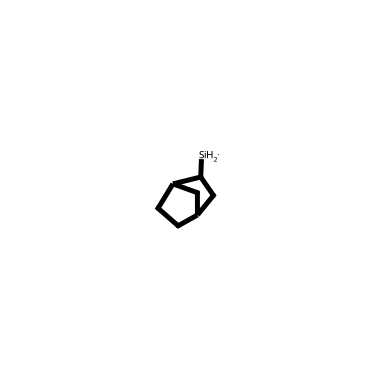 [SiH2]C1CC2CCC1C2